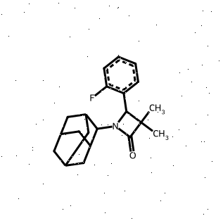 CC1(C)C(=O)N(C2C3CC4CC(C3)CC2C4)C1c1ccccc1F